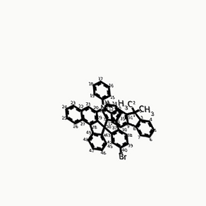 CC1(C)c2ccccc2-c2ccc(N(c3ccccc3)c3cc4ccccc4c4c3C3(c5ccccc5-c5ccc(Br)cc53)c3ccccc3-4)cc21